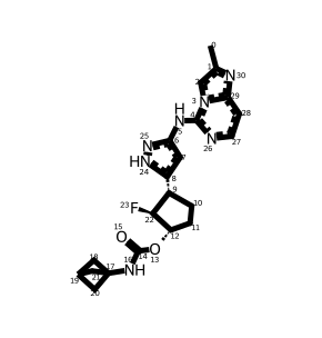 Cc1cn2c(Nc3cc([C@@H]4CC[C@H](OC(=O)NC56CC(C5)C6)[C@H]4F)[nH]n3)nccc2n1